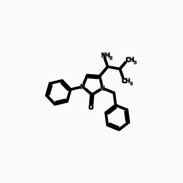 CC(C)C(N)c1cn(-c2ccccc2)c(=O)n1Cc1ccccc1